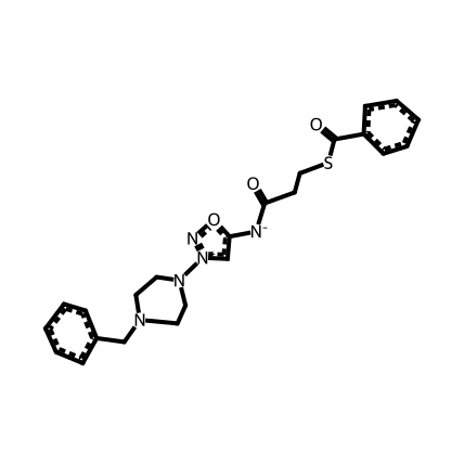 O=C(CCSC(=O)c1ccccc1)[N-]c1c[n+](N2CCN(Cc3ccccc3)CC2)no1